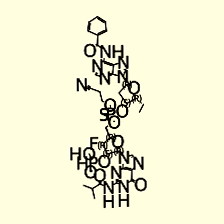 CC[C@H]1O[C@@H](n2cnc3c(NC(=O)c4ccccc4)ncnc32)C[C@@H]1OP(=S)(OCCC#N)OC[C@H]1O[C@@H](n2cnc3c(=O)[nH]c(NC(=O)C(C)C)nc32)[C@H](O[PH](=O)O)[C@@H]1F